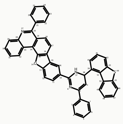 C1=C(c2ccccc2)N=C(c2ccc3oc4c(ccc5c(-c6ccccc6)nc6ccccc6c54)c3c2)NC1c1cccc2sc3ccccc3c12